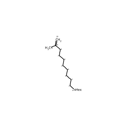 [CH2]CCCCCCCCCCCCCC(=C)C